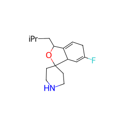 CC(C)CC1OC2(CCNCC2)C2C=C(F)CC=C12